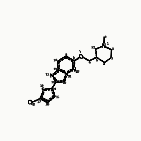 CN1CCCC(COc2ccc3nc(-c4ccc(Cl)s4)cn3n2)C1